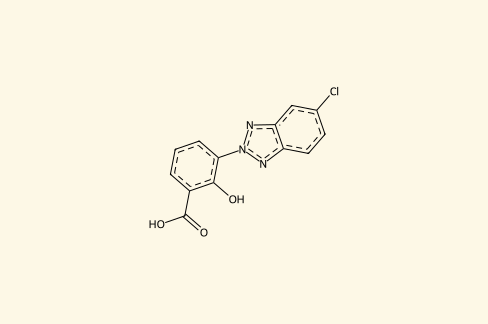 O=C(O)c1cccc(-n2nc3ccc(Cl)cc3n2)c1O